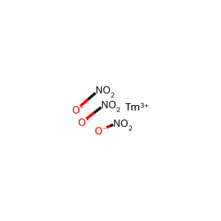 O=[N+]([O-])[O-].O=[N+]([O-])[O-].O=[N+]([O-])[O-].[Tm+3]